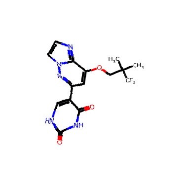 CC(C)(COc1cc(-c2c[nH]c(=O)[nH]c2=O)nn2ccnc12)C(F)(F)F